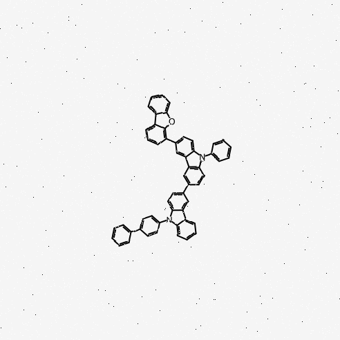 c1ccc(-c2ccc(-n3c4ccccc4c4cc(-c5ccc6c(c5)c5cc(-c7cccc8c7oc7ccccc78)ccc5n6-c5ccccc5)ccc43)cc2)cc1